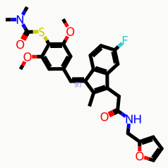 COc1cc(/C=C2/C(C)=C(CC(=O)NCc3ccco3)c3cc(F)ccc32)cc(OC)c1SC(=O)N(C)C